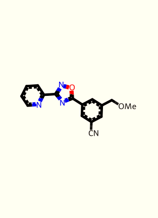 COCc1cc(C#N)cc(-c2nc(-c3ccccn3)no2)c1